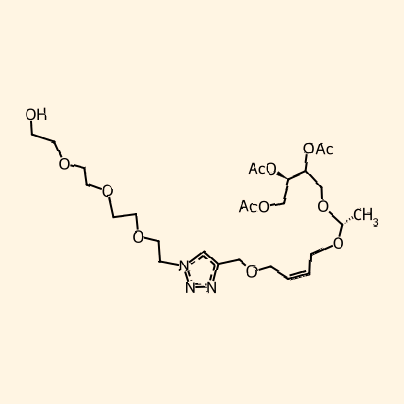 CC(=O)OC[C@@H](OC(C)=O)C(CO[C@H](C)OC/C=C\COCc1cn(CCOCCOCCOCCO)nn1)OC(C)=O